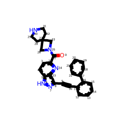 O=C(c1ccc2[nH]nc(C#Cc3ccccc3-c3ccccc3)c2n1)N1CC2(CCNCC2)C1